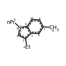 CCCn1cc(CC)c2cc(C)ccc21